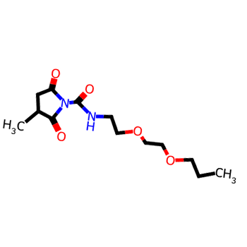 CCCOCCOCCNC(=O)N1C(=O)CC(C)C1=O